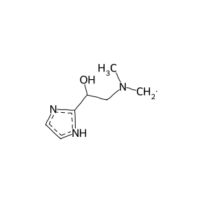 [CH2]N(C)CC(O)c1ncc[nH]1